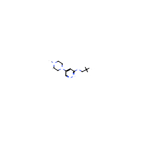 CN1CCN(c2cnnc(NCC(C)(C)C)c2)CC1